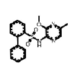 COc1nc(C)cnc1NS(=O)(=O)c1ccccc1-c1ccccc1